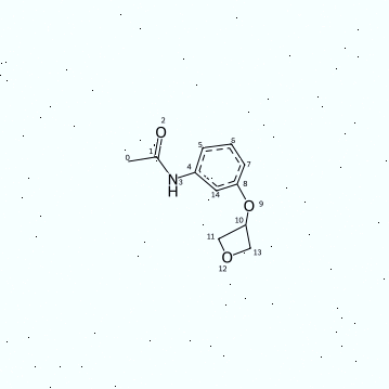 CC(=O)Nc1cccc(OC2COC2)c1